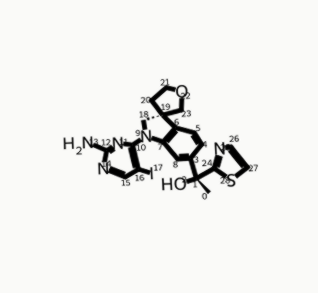 C[C@@](O)(c1ccc2c(c1)N(c1nc(N)ncc1I)C[C@@]21CCOC1)c1nccs1